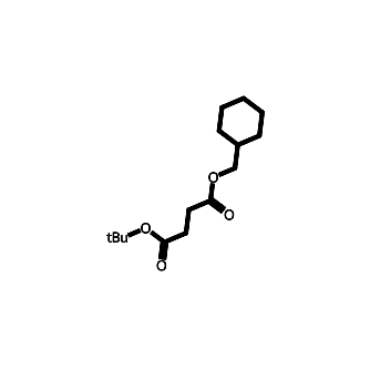 CC(C)(C)OC(=O)CCC(=O)OCC1CCCCC1